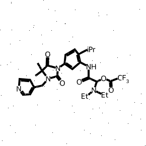 CCN(CC)C(OC(=O)C(F)(F)F)C(=O)Nc1cc(N2C(=O)N(Cc3ccncc3)C(C)(C)C2=O)ccc1C(C)C